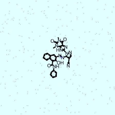 Cn1c(=O)c2nc(-n3ncc(C#N)c3/N=N/c3cc4ccccc4c(C(=O)Nc4ccccc4)c3O)[nH]c2n(C)c1=O